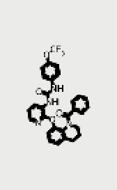 O=C(Nc1ccc(OC(F)(F)F)cc1)Nc1cccnc1Oc1cccc2c1N(C(=O)c1ccccc1)CCC2